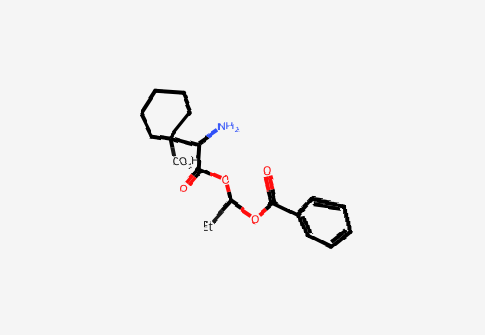 CCC(OC(=O)c1ccccc1)OC(=O)C(N)C1(C(=O)O)CCCCC1